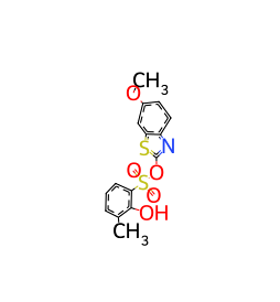 COc1ccc2nc(OS(=O)(=O)c3cccc(C)c3O)sc2c1